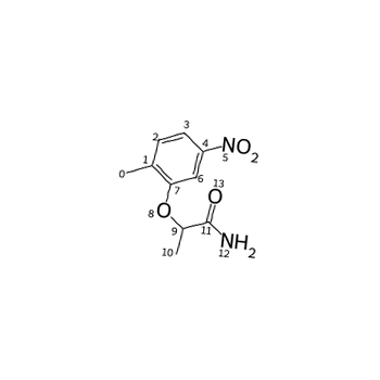 Cc1ccc([N+](=O)[O-])cc1OC(C)C(N)=O